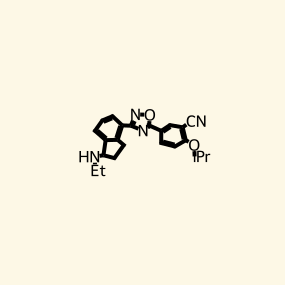 CCNC1CCc2c(-c3noc(-c4ccc(OC(C)C)c(C#N)c4)n3)cccc21